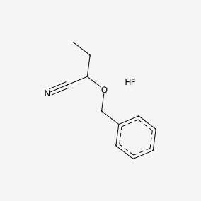 CCC(C#N)OCc1ccccc1.F